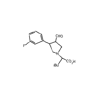 CCC(C)C(C(=O)O)N1CC(C=O)C(c2cccc(F)c2)C1